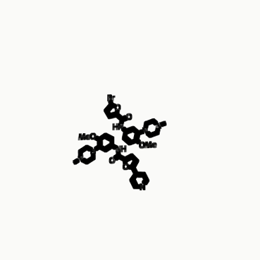 COc1ccc(NC(=O)c2ccc(-c3ccncc3)o2)cc1N1CCN(C)CC1.COc1ccc(NC(=O)c2ccc(Br)o2)cc1N1CCN(C)CC1